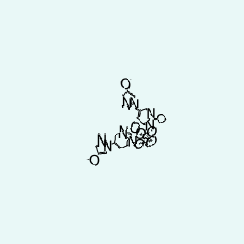 COc1cnn(C2=CC3CN(C2)C(=O)N3OS(=O)(=O)ON2C(=O)N3CC(n4cc(OC)cn4)=CC2C3)c1